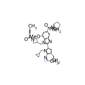 C=Cc1cc(-c2nc3cc(C(=O)N4CC5CCC4[C@@H]5N)cc(OC)c3n2CC2CN(C(=O)C#CC)C2)n(CC2CC2)c1/N=C\C